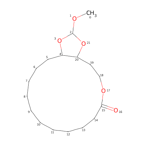 COC1OC2CCCCCCCCCCC(=O)OCCC2O1